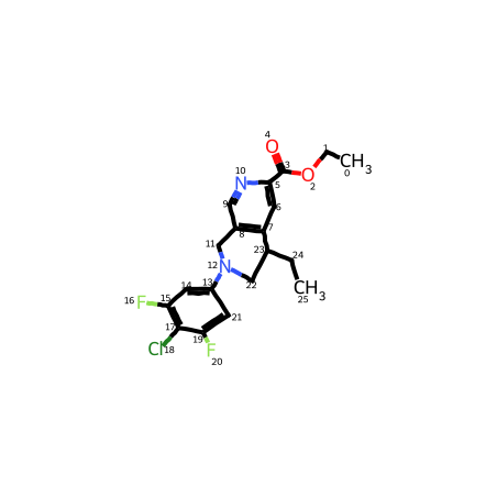 CCOC(=O)c1cc2c(cn1)CN(c1cc(F)c(Cl)c(F)c1)CC2CC